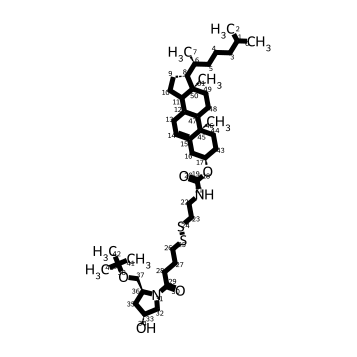 CC(C)CCC[C@@H](C)[C@H]1CCC2C3CC=C4C[C@@H](OC(=O)NCCSSCCCC(=O)N5C[C@H](O)C[C@H]5COC(C)(C)C)CC[C@]4(C)C3CC[C@@]21C